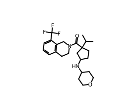 CC(C)C1(C(=O)N2CCc3cccc(C(F)(F)F)c3C2)CCC(NC2CCOCC2)C1